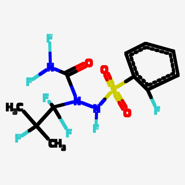 CC(C)(F)C(F)(F)N(C(=O)N(F)F)N(F)S(=O)(=O)c1ccccc1F